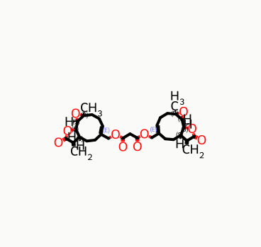 C=C1C(=O)O[C@H]2[C@H]1CC/C(COC(=O)CC(=O)OC/C1=C/CC[C@@]3(C)O[C@H]3[C@H]3OC(=O)C(=C)[C@@H]3CC1)=C\CC[C@@]1(C)O[C@@H]21